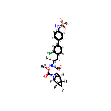 C[C@H]1[C@H]2[C@H]3C[C@@H]([C@@H]12)N(C(=O)OC(C)(C)C)[C@@H]3C(=O)N[C@H](C#N)Cc1ccc(-c2ccc(NS(C)(=O)=O)cc2)cc1F